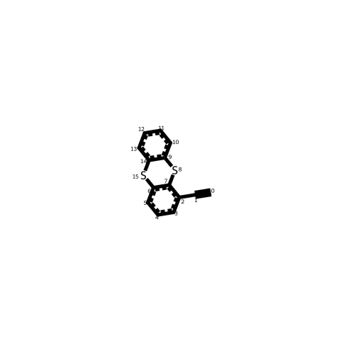 [C]#Cc1cccc2c1Sc1ccccc1S2